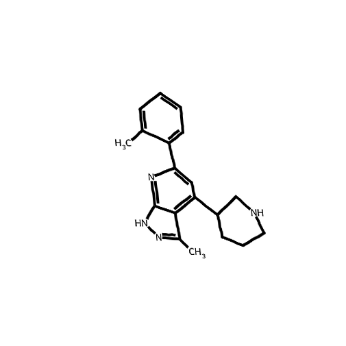 Cc1ccccc1-c1cc(C2CCCNC2)c2c(C)n[nH]c2n1